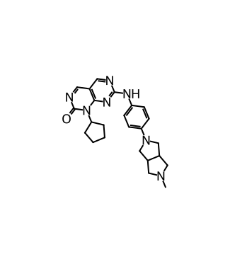 CN1CC2CN(c3ccc(Nc4ncc5cnc(=O)n(C6CCCC6)c5n4)cc3)CC2C1